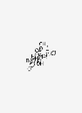 CCOC(=O)O[C@]1(C(=O)COC(=O)Cc2ccccc2)CC[C@H]2[C@@H]3C[C@H](F)C4=CC(=O)C=C[C@]4(C)[C@H]3C(O)C[C@@]21C